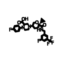 O=C(O)C1CN(C2CC[C@@](C(=O)NCc3cc(F)cc(C(F)(F)F)c3)(C3CC3)OC2)CCN1c1ccc(F)cc1